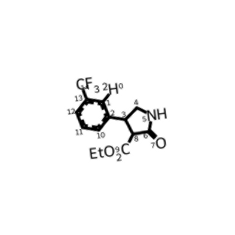 [2H]c1c(C2CNC(=O)C2C(=O)OCC)cccc1C(F)(F)F